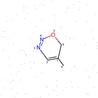 CC1=CN=NOC1